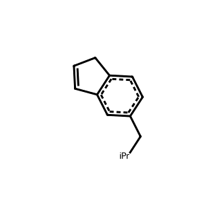 CC(C)Cc1ccc2c(c1)C=CC2